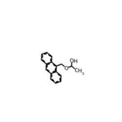 CC(O)OCc1c2ccccc2cc2ccccc12